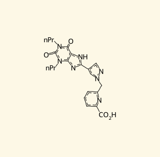 CCCn1c(=O)c2[nH]c(-c3cnn(Cc4cccc(C(=O)O)n4)c3)nc2n(CCC)c1=O